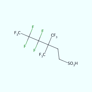 O=S(=O)(O)CCC(C(F)(F)F)(C(F)(F)F)C(F)(F)C(F)(F)C(F)(F)F